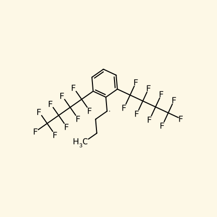 CCC[CH]c1c(C(F)(F)C(F)(F)C(F)(F)C(F)(F)F)cccc1C(F)(F)C(F)(F)C(F)(F)C(F)(F)F